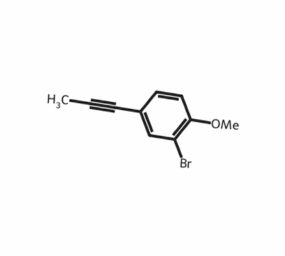 CC#Cc1ccc(OC)c(Br)c1